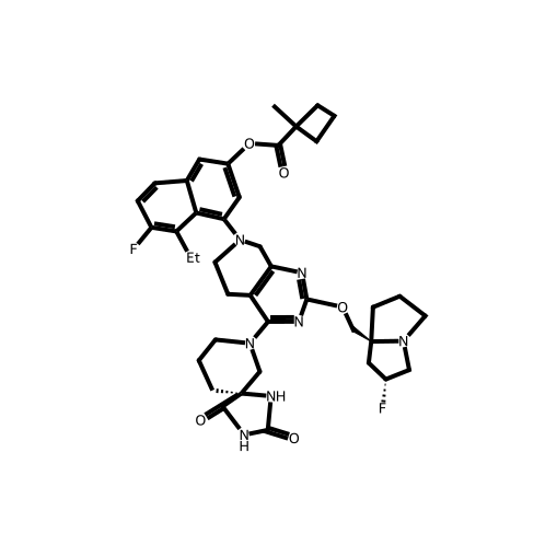 CCc1c(F)ccc2cc(OC(=O)C3(C)CCC3)cc(N3CCc4c(nc(OC[C@@]56CCCN5C[C@H](F)C6)nc4N4CCC[C@]5(C4)NC(=O)NC5=O)C3)c12